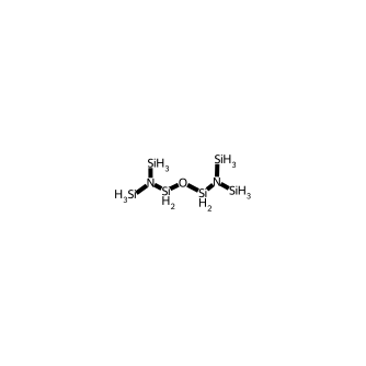 [SiH3]N([SiH3])[SiH2]O[SiH2]N([SiH3])[SiH3]